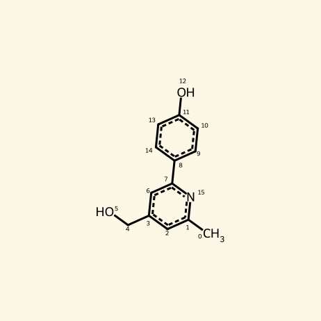 Cc1cc(CO)cc(-c2ccc(O)cc2)n1